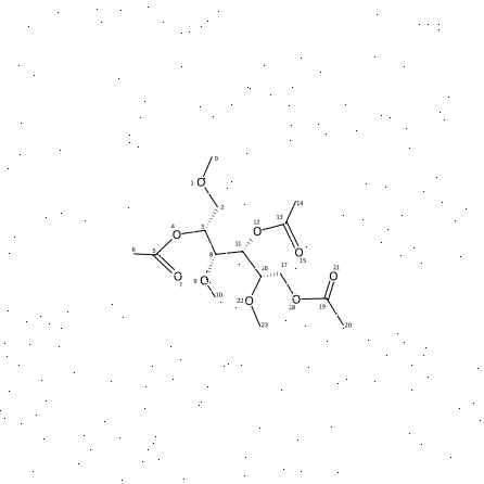 COC[C@@H](OC(C)=O)[C@@H](OC)[C@H](OC(C)=O)[C@H](COC(C)=O)OC